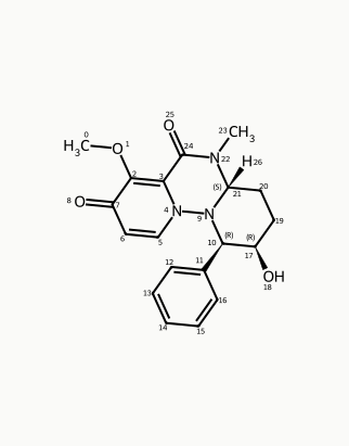 COc1c2n(ccc1=O)N1[C@H](c3ccccc3)[C@H](O)CC[C@H]1N(C)C2=O